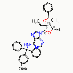 C=C[C@@]1(OCc2ccccc2)[C@H](C)[C@@H](CC)O[C@H]1n1cnc2c(NC(c3ccccc3)(c3ccccc3)c3ccc(OC)cc3)ncnc21